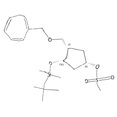 CC(C)(C)[Si](C)(C)O[C@H]1C[C@@H](OS(C)(=O)=O)C[C@H]1COCc1ccccc1